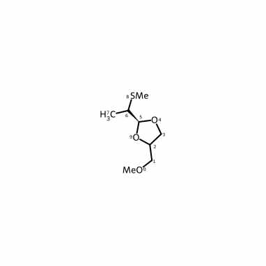 COCC1CO[C@H](C(C)SC)O1